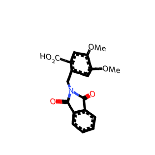 COc1cc(CN2C(=O)c3ccccc3C2=O)c(C(=O)O)cc1OC